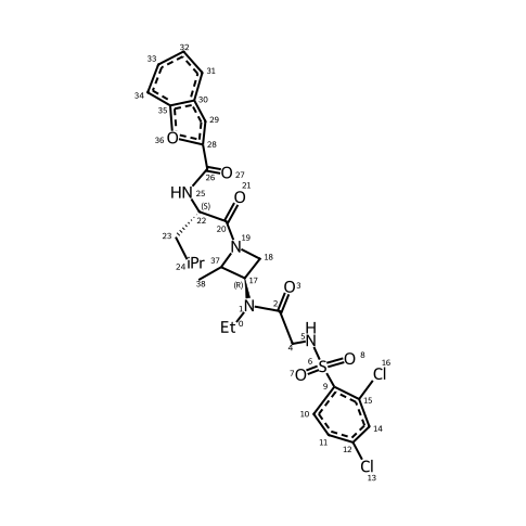 CCN(C(=O)CNS(=O)(=O)c1ccc(Cl)cc1Cl)[C@@H]1CN(C(=O)[C@H](CC(C)C)NC(=O)c2cc3ccccc3o2)C1C